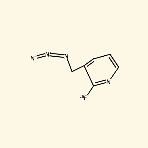 [N-]=[N+]=NCc1cccnc1[18F]